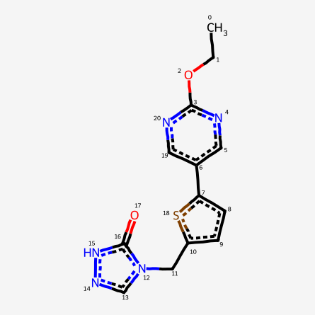 CCOc1ncc(-c2ccc(Cn3cn[nH]c3=O)s2)cn1